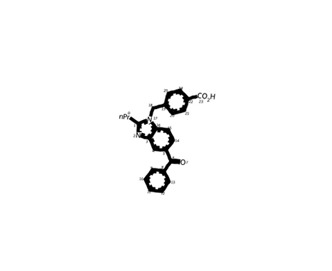 CCCc1nc2cc(C(=O)c3ccccc3)ccc2n1Cc1ccc(C(=O)O)cc1